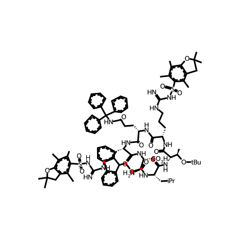 Cc1c(C)c(S(=O)(=O)NC(=N)NCCC[C@H](NC(=O)[C@H](CCC(=O)NC(c2ccccc2)(c2ccccc2)c2ccccc2)NC(=O)[C@H](CCCNC(=N)NS(=O)(=O)c2c(C)c(C)c3c(c2C)CC(C)(C)O3)NC(=O)[C@@H](NC(=O)[C@H](CC(C)C)NC(=O)OCC2c3ccccc3-c3ccccc32)[C@@H](C)OC(C)(C)C)C(=O)N[C@@H](CN)C(=O)O)c(C)c2c1OC(C)(C)C2